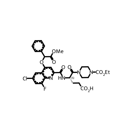 CCOC(=O)N1CCN(C(=O)[C@H](CCC(=O)O)NC(=O)c2cc(OC(C(=O)OC)c3ccccc3)c3cc(Cl)cc(F)c3n2)CC1